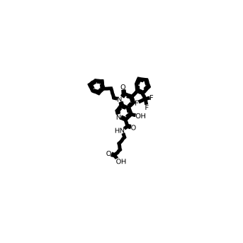 O=C(O)CCCNC(=O)c1ncc2c(cc(-c3ccccc3C(F)(F)F)c(=O)n2CCc2ccccc2)c1O